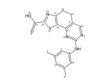 Cc1cc(C)cc(Nc2ncc3c(n2)-c2sc(C(=O)O)nc2CC3)c1